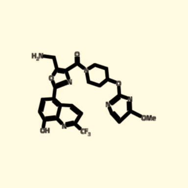 COc1ccnc(OC2CCN(C(=O)c3nc(-c4ccc(O)c5nc(C(F)(F)F)ccc45)oc3CN)CC2)n1